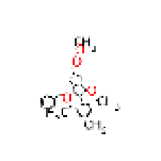 CCc1cc(C)cc(CC)c1C1=C(OCc2ccccc2)C2CC(COCOC)CC2C1=O